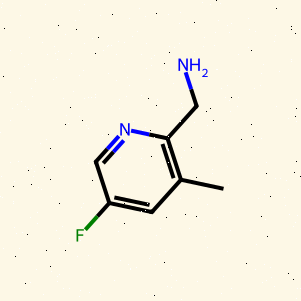 Cc1cc(F)cnc1CN